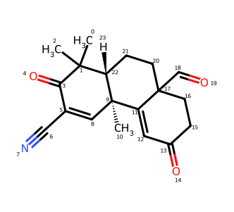 CC1(C)C(=O)C(C#N)=C[C@]2(C)C3=CC(=O)CCC3(C=O)CC[C@@H]12